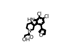 O=C(CO)N1CCc2[nH]c3c(Cl)c(Cl)cc(-c4ccoc4)c3c2C1